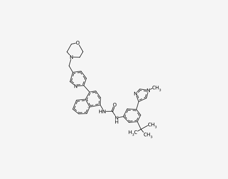 Cn1cnc(-c2cc(NC(=O)Nc3ccc(-c4ccc(CN5CCOCC5)cn4)c4ccccc34)cc(C(C)(C)C)c2)c1